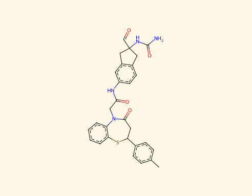 Cc1ccc(C2CC(=O)N(CC(=O)Nc3ccc4c(c3)CC(C=O)(NC(N)=O)C4)c3ccccc3S2)cc1